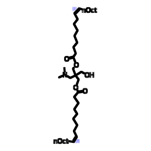 CCCCCCCC/C=C\CCCCCCCC(=O)OCC(CO)(COC(=O)CCCCCCC/C=C\CCCCCCCC)CN(C)C